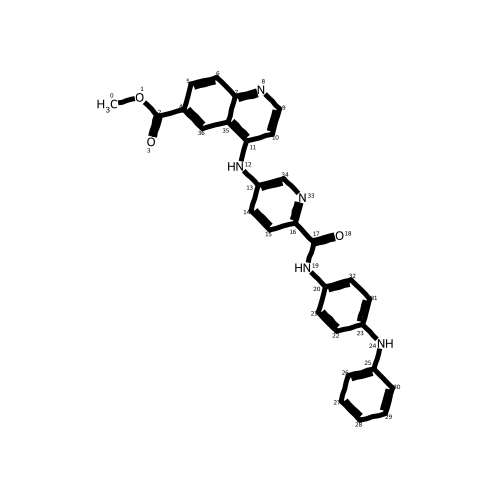 COC(=O)c1ccc2nccc(Nc3ccc(C(=O)Nc4ccc(Nc5ccccc5)cc4)nc3)c2c1